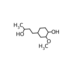 COC1CC(CCC(C)O)CCC1O